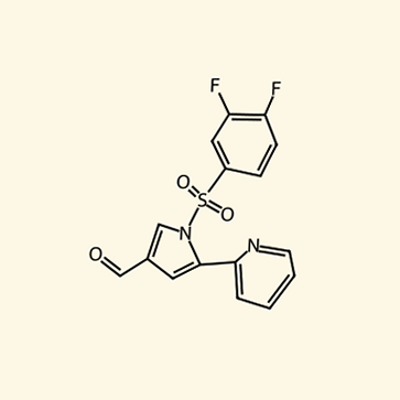 O=Cc1cc(-c2ccccn2)n(S(=O)(=O)c2ccc(F)c(F)c2)c1